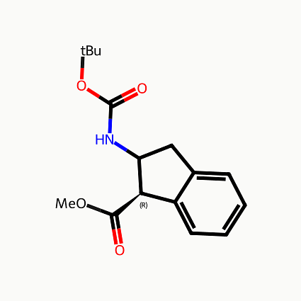 COC(=O)[C@@H]1c2ccccc2CC1NC(=O)OC(C)(C)C